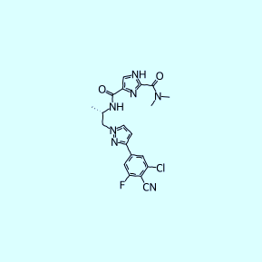 C[C@@H](Cn1ccc(-c2cc(F)c(C#N)c(Cl)c2)n1)NC(=O)c1c[nH]c(C(=O)N(C)C)n1